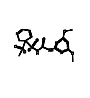 COc1cc(OC)nc(NC(=O)NS(=O)(=O)C2(S(C)(=O)=O)C=CC=NC2)n1